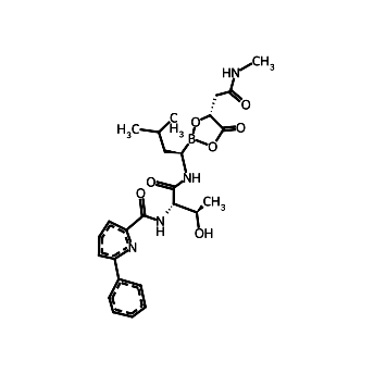 CNC(=O)C[C@H]1OB([C@H](CC(C)C)NC(=O)[C@@H](NC(=O)c2cccc(-c3ccccc3)n2)[C@@H](C)O)OC1=O